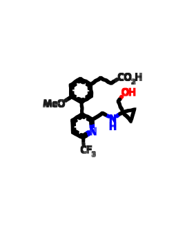 COc1ccc(CCC(=O)O)cc1-c1ccc(C(F)(F)F)nc1CNC1(CO)CC1